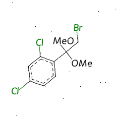 COC(CBr)(OC)c1ccc(Cl)cc1Cl